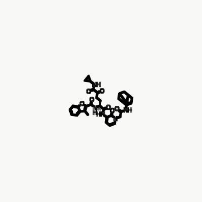 Cc1c(C(=O)N[C@@H](CCC(=O)C(=O)NC2CC2)C(=O)Nc2cccn(CC(=O)NC3C4CC5CC(C4)CC3C5)c2=O)oc2ccccc12